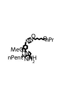 CCCCCN/C(N)=C1/C(=N)CCN1Cc1ccc(CN2CCN(C(=O)CCCCCOCCC)CC2)cc1OC